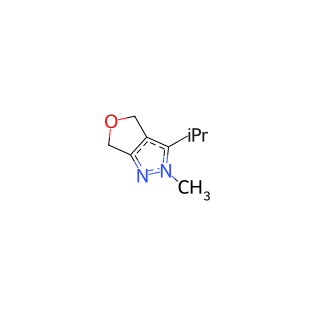 CC(C)c1c2c(nn1C)COC2